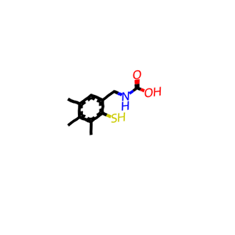 Cc1cc(CNC(=O)O)c(S)c(C)c1C